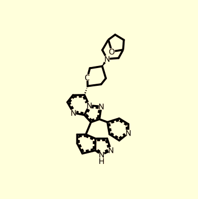 c1cc(-c2c(-c3ccncc3)nn3c2nccc3[C@H]2CC[C@H](N3CC4CCC(C3)O4)CC2)c2cn[nH]c2c1